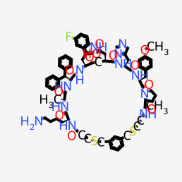 COc1ccc(C[C@@H]2NC(=O)[C@H](CC3=NC=NC3)NC(=O)[C@H](CC(=O)O)CC(=O)[C@H](Cc3c[nH]c4ccc(F)cc34)NC(=O)[C@H](C(c3ccccc3)c3ccccc3)NC(=O)[C@@H](C)NC(=O)[C@H](CCCCN)NC(=O)CCSCc3cccc(c3)CSCCNC(=O)[C@]3(C)CCCN3C2=O)cc1